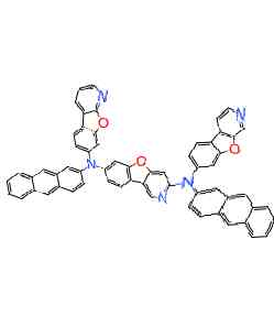 c1ccc2cc3cc(N(c4ccc5c(c4)oc4cc(N(c6ccc7cc8ccccc8cc7c6)c6ccc7c(c6)oc6cnccc67)ncc45)c4ccc5c(c4)oc4ncccc45)ccc3cc2c1